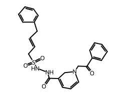 O=C(NNS(=O)(=O)CC=CCc1ccccc1)C1=CC=CN(CC(=O)c2ccccc2)C1